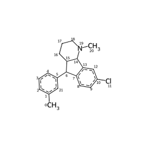 Cc1cccc(C2c3ccc(Cl)cc3C3C2CCCN3C)c1